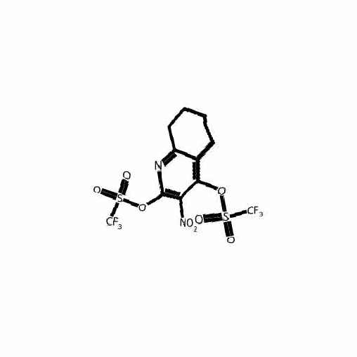 O=[N+]([O-])c1c(OS(=O)(=O)C(F)(F)F)nc2c(c1OS(=O)(=O)C(F)(F)F)CCCC2